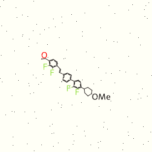 COC1CCC(c2ccc(-c3ccc(/C=C/c4ccc(C5CO5)c(F)c4F)cc3)c(F)c2F)CC1